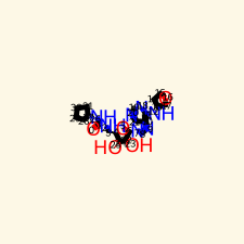 O=C(NC[C@H]1O[C@@H](n2cnc3c(N[C@@H]4CCOC4)ncnc32)[C@H](O)[C@@H]1O)NC1CCCC1